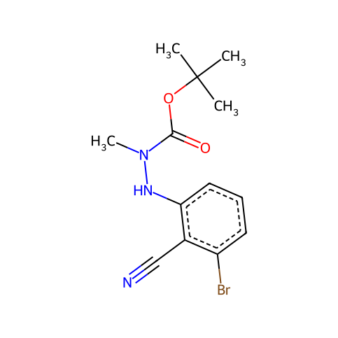 CN(Nc1cccc(Br)c1C#N)C(=O)OC(C)(C)C